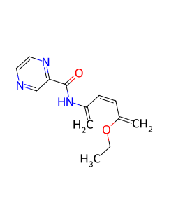 C=C(/C=C\C(=C)OCC)NC(=O)c1cnccn1